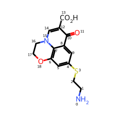 NCCSc1cc2c3c(c1)c(=O)c(C(=O)O)cn3CCO2